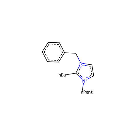 CCCCC[n+]1ccn(Cc2ccccc2)c1CCCC